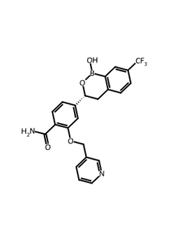 NC(=O)c1ccc([C@H]2Cc3ccc(C(F)(F)F)cc3B(O)O2)cc1OCc1cccnc1